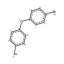 CC(C)c1ccc(Oc2ccc(Br)cc2)cc1